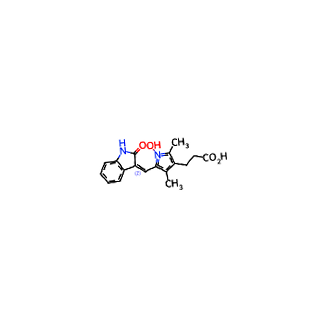 Cc1c(CCC(=O)O)c(C)n(O)c1/C=C1\C(=O)Nc2ccccc21